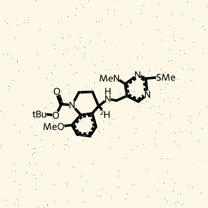 [2H]C1(NCc2cnc(SC)nc2NC)CCN(C(=O)OC(C)(C)C)c2c(OC)cccc21